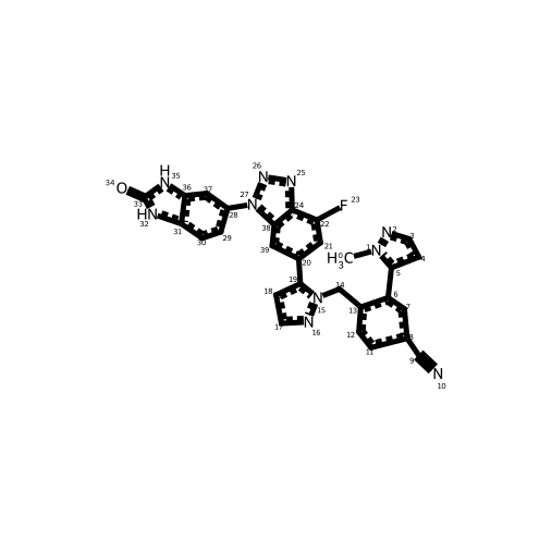 Cn1nccc1-c1cc(C#N)ccc1Cn1nccc1-c1cc(F)c2nnn(-c3ccc4[nH]c(=O)[nH]c4c3)c2c1